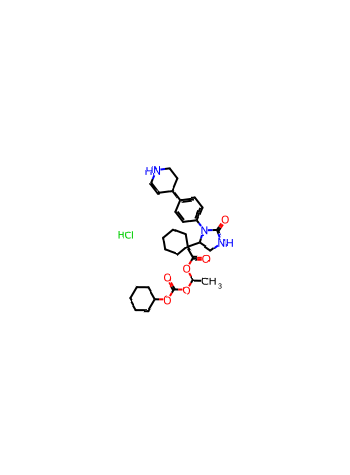 CC(OC(=O)OC1CCCCC1)OC(=O)C1(C2CNC(=O)N2c2ccc(C3CCNCC3)cc2)CCCCC1.Cl